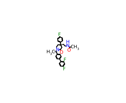 CC(=O)NCC[C@]1(c2ccc(F)cc2)CCN([C@@H](C)c2ccc(-c3ccc(F)cc3F)cc2)C(=O)C1